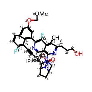 COCOc1cc(-c2ncc3c(N4CC5CCC(C4)N5C(=O)OC(C)(C)C)nc(CCCO)c(C)c3c2F)c2c(C#C[Si](C(C)C)(C(C)C)C(C)C)c(F)ccc2c1